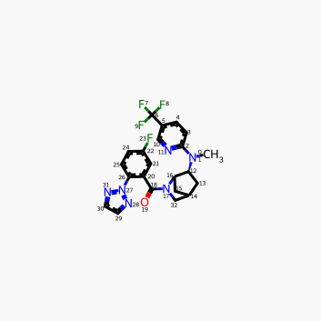 CN(c1ccc(C(F)(F)F)cn1)[C@H]1CC2CC1N(C(=O)c1cc(F)ccc1-n1nccn1)C2